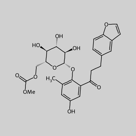 COC(=O)OC[C@H]1O[C@@H](Oc2c(C)cc(O)cc2C(=O)CCc2ccc3occc3c2)[C@H](O)[C@@H](O)[C@@H]1O